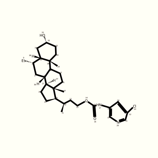 CC[C@H]1C[C@@H]2C(CC[C@]3(C)[C@@H]([C@H](C)CCOC(=O)Nc4cncc(Cl)c4)CC[C@@H]23)[C@@]2(C)CC[C@@H](O)C[C@@H]12